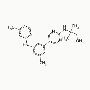 Cc1cc(Nc2nccc(C(F)(F)F)n2)cc(-c2cnc(NC(C)(C)CO)nc2)c1